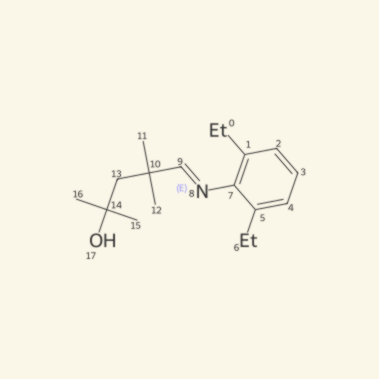 CCc1cccc(CC)c1/N=C/C(C)(C)CC(C)(C)O